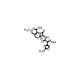 COCC1=C(C(=O)O)N2C(=O)C(NC(=O)C(=NO)c3csc(N)n3)[C@@H]2SC1